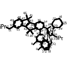 Cc1cc2cc3c1c(C)cc1[n+]3C3(N(C4CCCCC4)C(C(C)C)=[N+]3C3CCCCC3)C(C)(CC2)c2ccc3c(c2-1)C(C)(C)C1=C3C(C)(C)c2ccc(CC(C)C)cc21